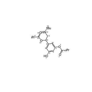 CC(C)C(=O)Oc1cc(O)cc(C(CNC(C)(C)C)OC(=O)C(C)C)c1